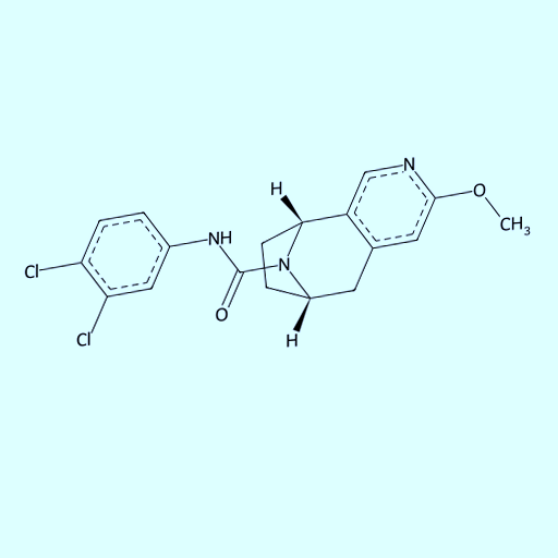 COc1cc2c(cn1)[C@H]1CC[C@@H](C2)N1C(=O)Nc1ccc(Cl)c(Cl)c1